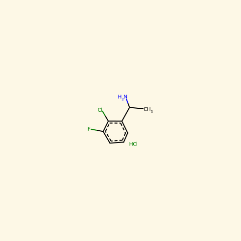 CC(N)c1cccc(F)c1Cl.Cl